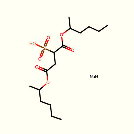 CCCCC(C)OC(=O)CC(C(=O)OC(C)CCCC)S(=O)(=O)O.[NaH]